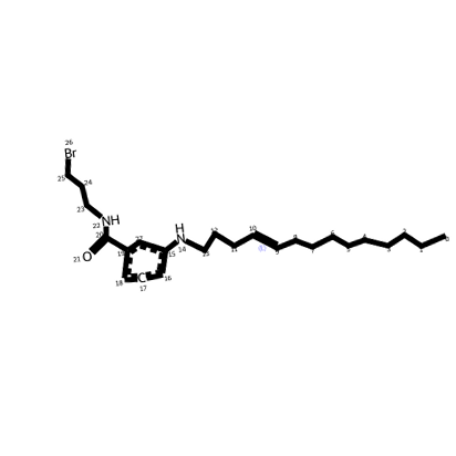 CCCCCCCCC/C=C/CCCNc1cccc(C(=O)NCCCBr)c1